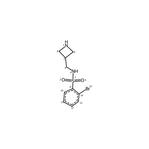 O=S(=O)(NCC1CNC1)c1ccccc1Br